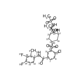 Cc1c(NC(=O)c2ccc(Cl)c(S(=O)(=O)[C@@H]3CC4C[C@H](C)C(C3)[C@@]4(O)CNS(C)(=O)=O)c2)ccc(F)c1F